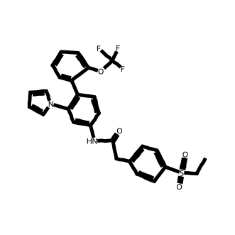 CCS(=O)(=O)c1ccc(CC(=O)Nc2ccc(-c3ccccc3OC(F)(F)F)c(-n3cccc3)c2)cc1